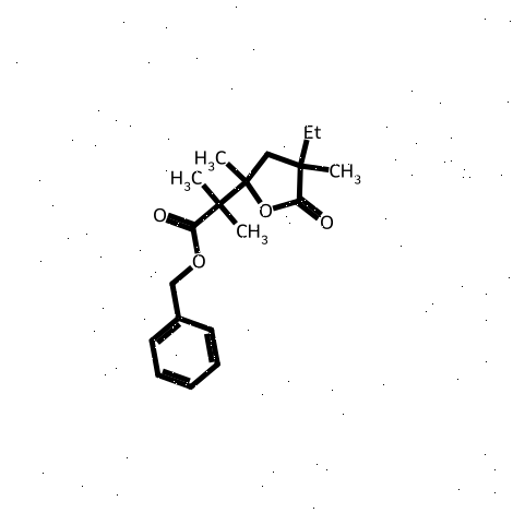 CCC1(C)CC(C)(C(C)(C)C(=O)OCc2ccccc2)OC1=O